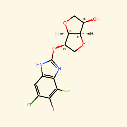 O[C@@H]1CO[C@H]2[C@@H]1OC[C@H]2Oc1nc2c(F)c(I)c(Cl)cc2[nH]1